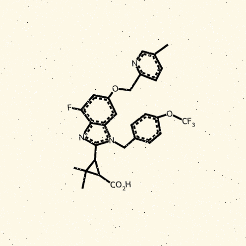 Cc1ccc(COc2cc(F)c3nc(C4C(C(=O)O)C4(C)C)n(Cc4ccc(OC(F)(F)F)cc4)c3c2)nc1